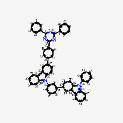 c1ccc(-c2nc(-c3ccccc3)nc(-c3ccc(-c4ccc5c(c4)c4ccccc4n5-c4cccc(-c5ccc6c(c5)c5ccccc5n6-c5ccccc5)c4)cc3)n2)cc1